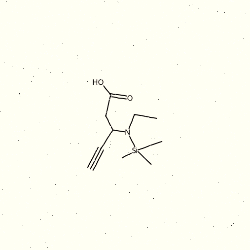 C#CC(CC(=O)O)N(CC)[Si](C)(C)C